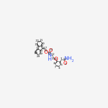 NC(=O)Cc1ccccc1OCCNC(=O)OCC1c2ccccc2-c2ccccc21